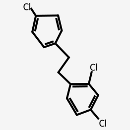 Clc1ccc(CCc2ccc(Cl)cc2Cl)cc1